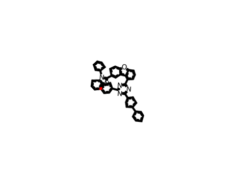 c1ccc(-c2ccc(-c3nc(-c4ccccc4)nc(-c4cccc5oc6ccc(-c7nc8ccccc8n7-c7ccccc7)cc6c45)n3)cc2)cc1